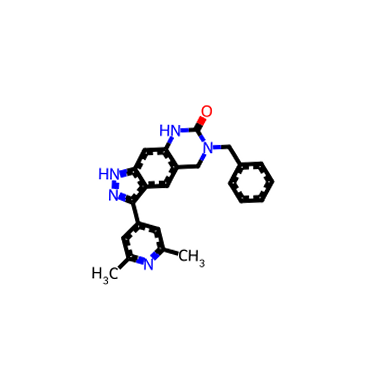 Cc1cc(-c2n[nH]c3cc4c(cc23)CN(Cc2ccccc2)C(=O)N4)cc(C)n1